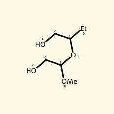 CCC(CO)OC(CO)OC